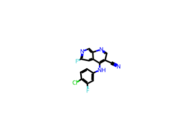 N#Cc1cnc2cnc(F)cc2c1Nc1ccc(Cl)c(F)c1